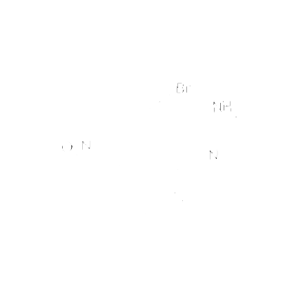 CN(N)c1cccc([N+](=O)[O-])c1CBr